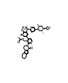 CC(=O)OCc1c(-c2cc(N(N)c3ccc(N4C[C@@H](C)N(C5COC5)C[C@@H]4C)cn3)c(=O)n(C)c2)ccnc1N1CCn2c(cc3c2CCCC3)C1=O